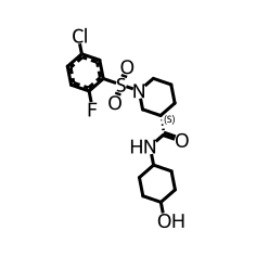 O=C(NC1CCC(O)CC1)[C@H]1CCCN(S(=O)(=O)c2cc(Cl)ccc2F)C1